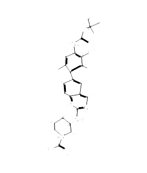 Cc1cc(NC(=O)OC(C)(C)C)c(F)c(F)c1-c1ccc2nc(N[C@H]3CCCN(C(=O)O)C3)ncc2c1